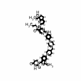 C=CCn1c(=O)c2cnc(Nc3ccc(N4CCN(CC5CCN(c6ccc7c(N8CCC(=O)NC8=O)nn(C)c7c6)CC5)CC4)cc3)nc2n1-c1ccc2c(n1)C(O)(CC)CC2